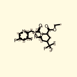 CCOC(=O)C1CC(C(F)(F)F)Cc2nn(Cc3ncc(F)cc3F)c(=O)n21